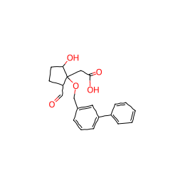 O=CC1CCC(O)C1(CC(=O)O)OCc1cccc(-c2ccccc2)c1